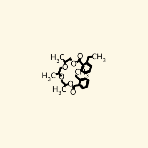 CCc1ccccc1C(=O)OCC(C)OCC(C)OCC(C)OC(=O)c1ccccc1CC